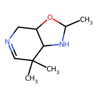 CC1NC2C(CN=CC2(C)C)O1